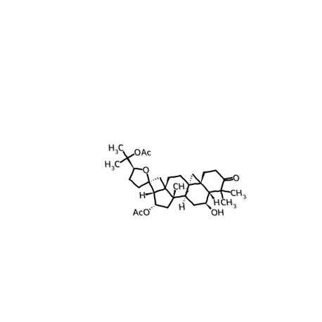 CC(=O)O[C@H]1C[C@@]2(C)[C@@H]3C[C@H](O)[C@H]4C(C)(C)C(=O)CC[C@@]45C[C@@]35CC[C@@]23C[C@@]2(CC[C@@H](C(C)(C)OC(C)=O)O2)[C@@H]13